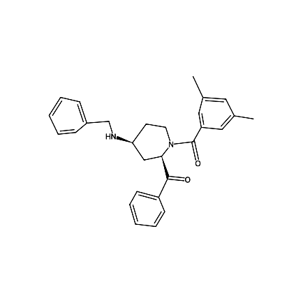 Cc1cc(C)cc(C(=O)N2CC[C@H](NCc3ccccc3)C[C@@H]2C(=O)c2ccccc2)c1